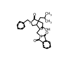 CC(C)CC1(CC(=O)O)C(=O)N(Cc2ccccc2)CC1CCN1C(=O)c2ccccc2C1=O